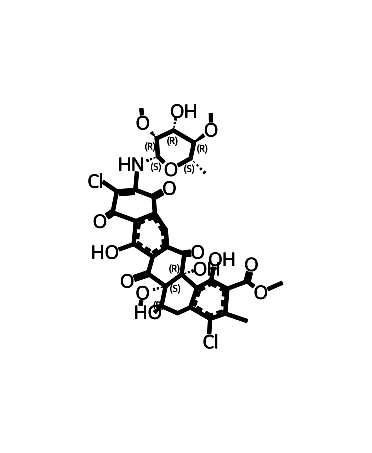 COC(=O)c1c(C)c(Cl)c2c(c1O)[C@]1(O)C(=O)c3cc4c(c(O)c3C(=O)[C@]1(OC)[C@H](O)C2)C(=O)C(Cl)=C(N[C@H]1O[C@@H](C)[C@H](OC)[C@@H](O)[C@H]1OC)C4=O